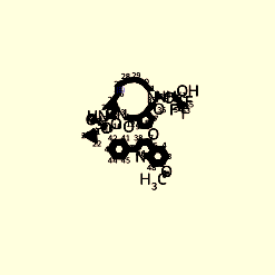 COc1ccc2c(OC3CC4C(=O)NC5(C(=O)NS(=O)(=O)C6CC6)CC5/C=C/CCCCN(N)C(=O)C4C3)cc(-c3ccccc3)nc2c1.O=C(O)C(F)(F)F